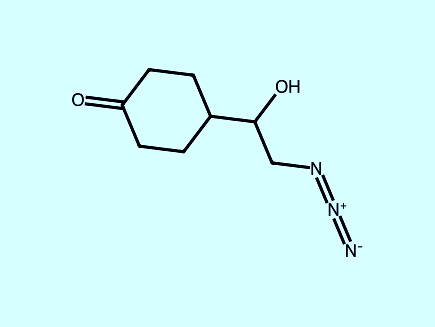 [N-]=[N+]=NCC(O)C1CCC(=O)CC1